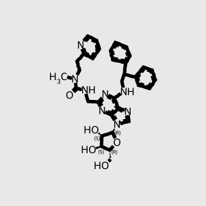 CN(CCc1ccccn1)C(=O)NCc1nc(NCC(c2ccccc2)c2ccccc2)c2ncn([C@@H]3O[C@H](CO)[C@@H](O)[C@@H]3O)c2n1